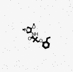 CCc1ccccc1OCC(C)(C)C(=O)N[C@@H]1CN(C)C[C@H]1OC